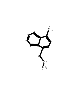 COCc1ccc(C)c2ccccc12